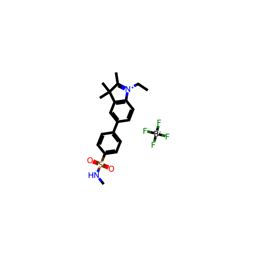 CC[N+]1=C(C)C(C)(C)c2cc(-c3ccc(S(=O)(=O)NC)cc3)ccc21.F[B-](F)(F)F